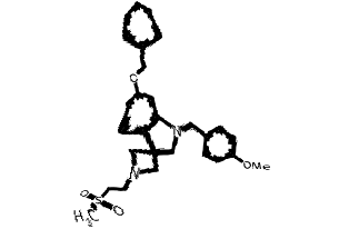 COc1ccc(CN2CC3(CN(CCS(C)(=O)=O)C3)c3ccc(OCc4ccccc4)cc32)cc1